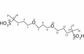 CC(C)(CCCOCCCOCCCC(C)(C)S(=O)(=O)O)S(=O)(=O)O